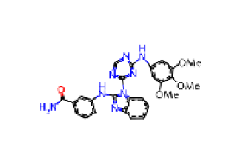 COc1cc(Nc2ncnc(-n3c(Nc4cccc(C(N)=O)c4)nc4ccccc43)n2)cc(OC)c1OC